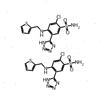 NS(=O)(=O)c1cc(-c2nnn[nH]2)c(NCc2cccs2)cc1Cl.NS(=O)(=O)c1cc(-c2nnn[nH]2)c(NCc2cccs2)cc1Cl